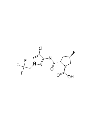 O=C(Nc1nn(CC(F)(F)F)cc1Cl)[C@@H]1C[C@@H](F)CN1C(=O)O